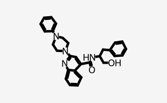 O=C(NC(CO)Cc1ccccc1)c1cc(N2CCN(c3ccccc3)CC2)nc2ccccc12